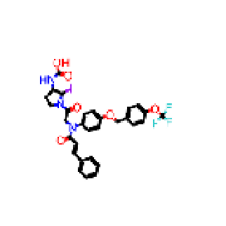 O=C(O)NC1CCN(C(=O)CN(C(=O)C=Cc2ccccc2)c2ccc(OCc3ccc(OC(F)(F)F)cc3)cc2)C1I